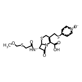 COCSCC(=O)N[C@H]1C(=O)N2C(C(=O)O)=C(CSc3cc[n+]([O-])cc3)CSC12